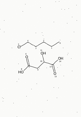 CCCCCCl.O=C(O)CC(O)C(=O)O